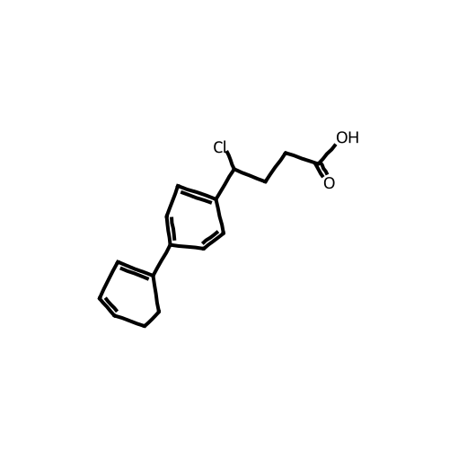 O=C(O)CCC(Cl)c1ccc(C2=CC=CCC2)cc1